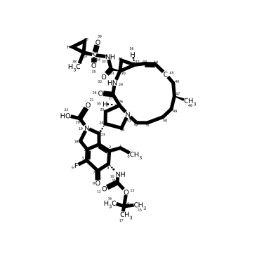 CCC1=C2C(=C(F)C(=O)[C@H]1NC(=O)OC(C)(C)C)CN(C(=O)O)C2[C@@H]1C[C@H]2C(=O)N[C@]3(C(=O)NS(=O)(=O)C4(C)CC4)C[C@H]3/C=C\CC[C@@H](C)CCCCN2C1